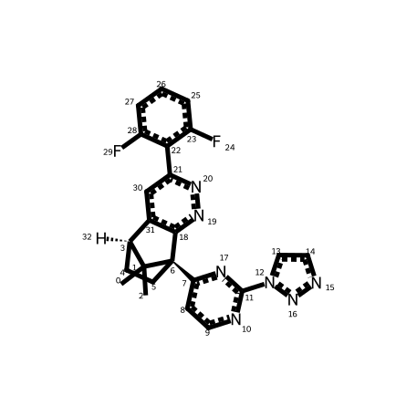 CC1(C)[C@H]2CC[C@@]1(c1ccnc(-n3ccnn3)n1)c1nnc(-c3c(F)cccc3F)cc12